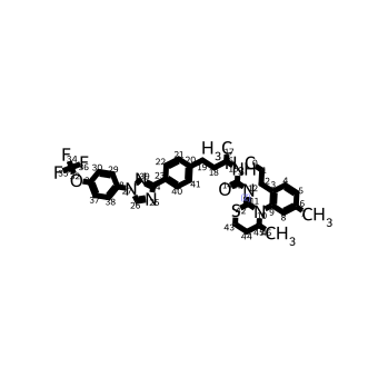 CCCc1ccc(C)cc1N1/C(=N/C(=O)NC(C)CCc2ccc(-c3ncn(-c4ccc(OC(F)(F)F)cc4)n3)cc2)SCCC1C